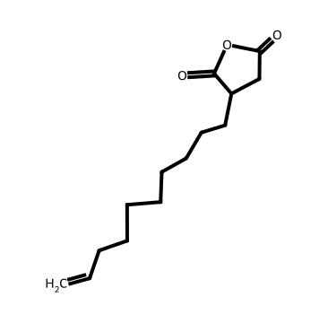 C=CCCCCCCCCC1CC(=O)OC1=O